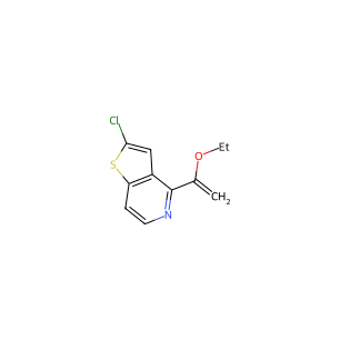 C=C(OCC)c1nccc2sc(Cl)cc12